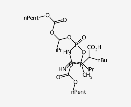 CCCCCOC(=O)OC(OP(=O)(NC(=N)N(C)C(CCCC)C(=O)O)OC(OC(=O)OCCCCC)C(C)C)C(C)C